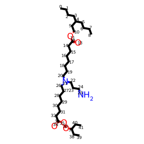 CCCCC(CCCC)CCOC(=O)CCCCCCCN(CCCN)CCCCCCCC(=O)OOC(CC)CC